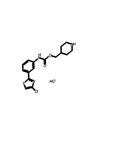 Cl.O=C(Nc1cccc(-c2nc(Cl)cs2)c1)OCC1CCNCC1